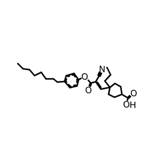 CCCCCCCCc1ccc(OC(=O)C(C#N)=CC2(CCC)CCC(C(=O)O)CC2)cc1